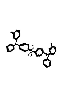 Cc1cccc(N(c2ccccc2)c2ccc(S(=O)(=O)c3ccc(N(c4ccccc4)c4cccc(C)c4)cc3)cc2)c1